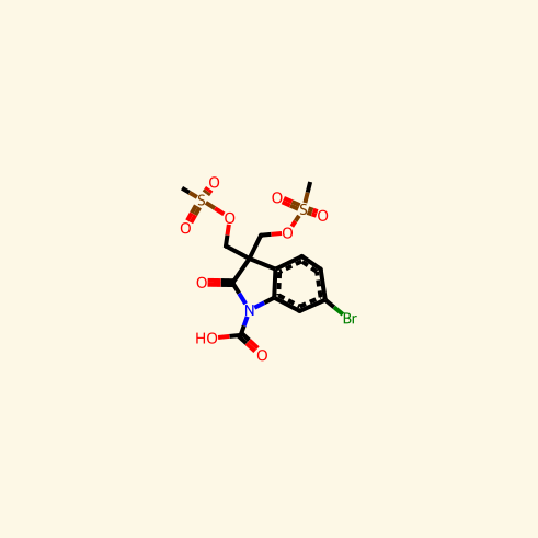 CS(=O)(=O)OCC1(COS(C)(=O)=O)C(=O)N(C(=O)O)c2cc(Br)ccc21